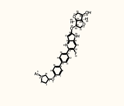 CC(=O)N1CCC(Oc2ccc(-c3ccc(-c4nc5cc(O[C@@H]6CO[C@H]7[C@@H]6OC[C@H]7O)[nH]c5cc4F)cc3)cc2)C1